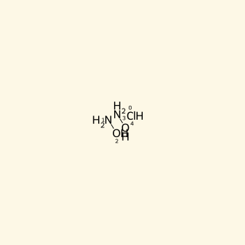 Cl.NO.NO